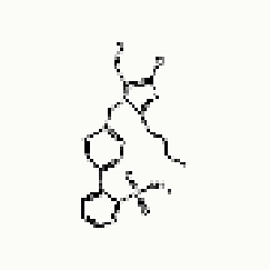 CCCCc1nc(Cl)c(C=O)n1Cc1ccc(-c2ccccc2S(N)(=O)=O)cc1